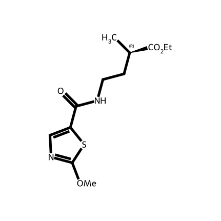 CCOC(=O)[C@H](C)CCNC(=O)c1cnc(OC)s1